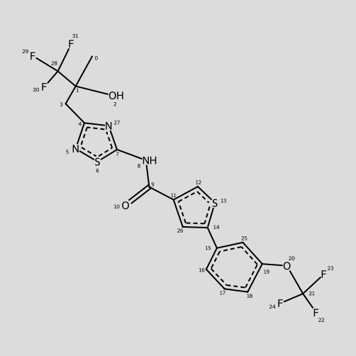 CC(O)(Cc1nsc(NC(=O)c2csc(-c3cccc(OC(F)(F)F)c3)c2)n1)C(F)(F)F